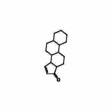 O=C1C=CC2C1CCC1C3CCCCC3CCC21